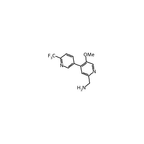 COc1cnc(CN)cc1-c1ccc(C(F)(F)F)nc1